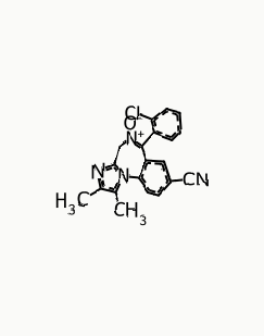 Cc1nc2n(c1C)-c1ccc(C#N)cc1C(c1ccccc1Cl)=[N+]([O-])C2